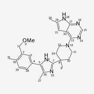 COCc1cc(-c2[nH]c(C3(C)CCN(c4ncnc5[nH]c(C)cc45)CC3)nc2C)ccc1C